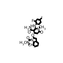 CN(C)C(=O)n1c(Oc2cc(=O)n(C)c(Nc3ccc(I)cc3F)c2C(N)=O)cc2ccccc21